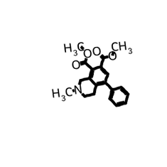 COC(=O)c1cc(-c2ccccc2)c2c(c1C(=O)OC)CN(C)CC2